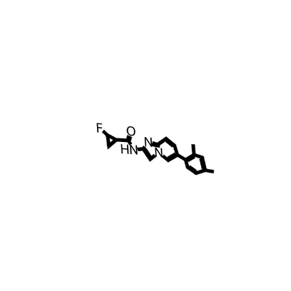 Cc1ccc(-c2ccc3nc(NC(=O)C4CC4F)cn3c2)c(C)c1